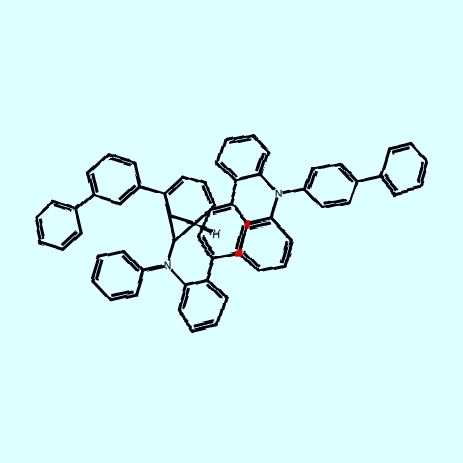 C1=C[C@H]2C(C(c3cccc(-c4ccccc4)c3)=C1)C2N(c1ccccc1)c1ccccc1-c1ccc(-c2ccccc2N(c2ccccc2)c2ccc(-c3ccccc3)cc2)cc1